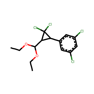 CCOC(OCC)C1C(c2cc(Cl)cc(Cl)c2)C1(Cl)Cl